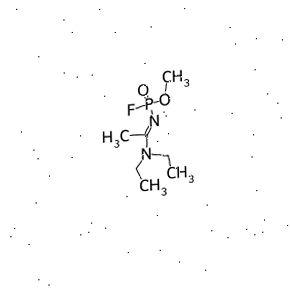 CCN(CC)/C(C)=N/P(=O)(F)OC